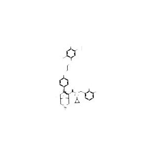 CC(=O)N1C[C@H]2CC(c3ccc(OCCOc4cc(Cl)c(Cl)cc4Cl)cc3)=C(C(=O)N(Cc3cccc(Cl)c3Cl)C3CC3)[C@@H](C1)N2